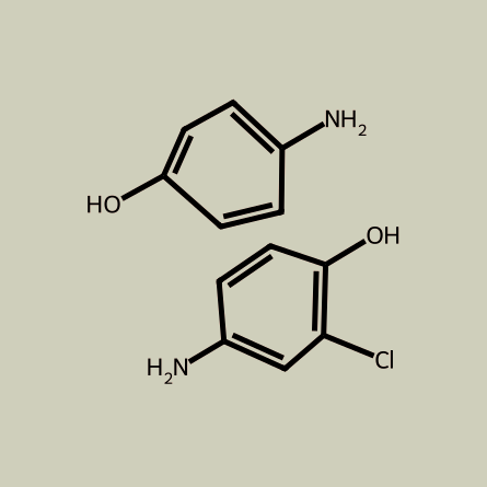 Nc1ccc(O)c(Cl)c1.Nc1ccc(O)cc1